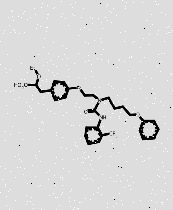 CCOC(Cc1ccc(OCCN(CCCCOc2ccccc2)C(=O)Nc2ccccc2C(F)(F)F)cc1)C(=O)O